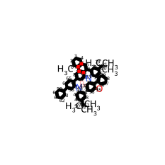 Cc1ccccc1-c1cc2c3c(c1)N(c1ccc(C(C)(C)C)cc1-c1ccccc1)c1c(ccc4oc5ccccc5c14)B3N(c1ccc(C(C)(C)C)cc1)c1cc(-c3ccccc3)ccc1-2